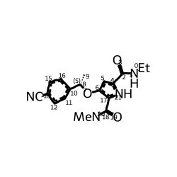 CCNC(=O)c1cc(O[C@@H](C)c2ccc(C#N)cc2)c(C(=O)NC)[nH]1